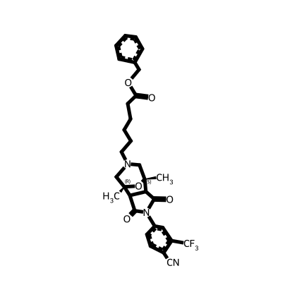 C[C@]12CN(CCCCCC(=O)OCc3ccccc3)C[C@](C)(O1)C1C(=O)N(c3ccc(C#N)c(C(F)(F)F)c3)C(=O)C12